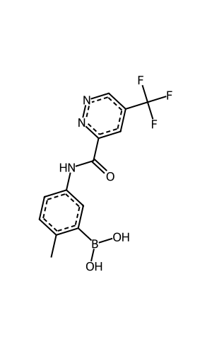 Cc1ccc(NC(=O)c2cc(C(F)(F)F)cnn2)cc1B(O)O